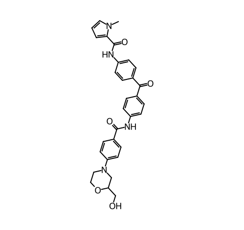 Cn1cccc1C(=O)Nc1ccc(C(=O)c2ccc(NC(=O)c3ccc(N4CCOC(CO)C4)cc3)cc2)cc1